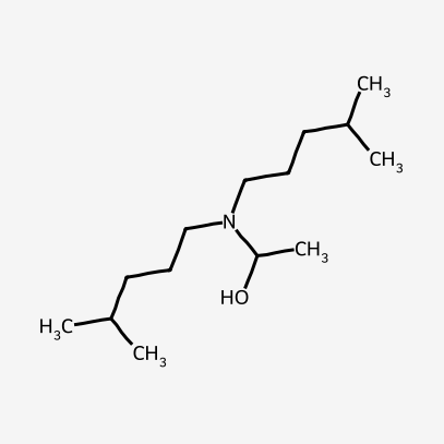 CC(C)CCCN(CCCC(C)C)C(C)O